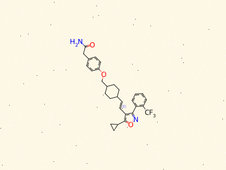 NC(=O)Cc1ccc(OCC2CCC(/C=C/c3c(-c4ccccc4C(F)(F)F)noc3C3CC3)CC2)cc1